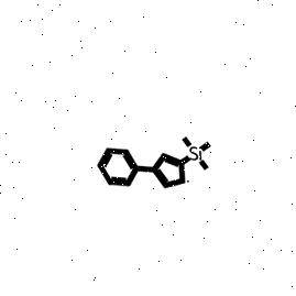 C[Si](C)(C)C1=CC(c2ccccc2)=C[CH]1